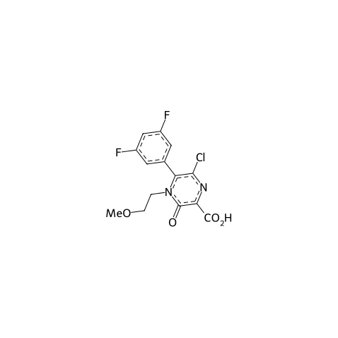 COCCn1c(-c2cc(F)cc(F)c2)c(Cl)nc(C(=O)O)c1=O